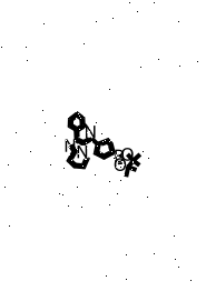 CC1(C)OB(c2ccc(-c3nc4ccccc4c4nc5ccccn5c34)cc2)OC1(C)C